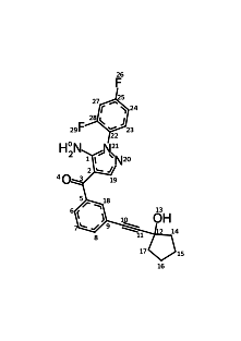 Nc1c(C(=O)c2cccc(C#CC3(O)CCCC3)c2)cnn1-c1ccc(F)cc1F